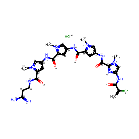 C=C(Br)C(=O)Nc1cn(C)c(C(=O)Nc2cc(C(=O)Nc3cc(C(=O)Nc4cc(C(=O)NCCC(=N)N)n(C)c4)n(C)c3)n(C)c2)n1.Cl